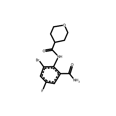 NC(=O)c1cc(F)cc(Br)c1NC(=O)C1CCOCC1